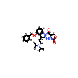 CC(C)N(CCC1CN(C(=O)C2COC(=O)N2)c2cccc(OCc3ccccc3)c21)C(C)C